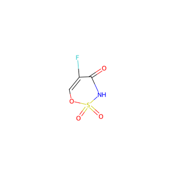 O=C1NS(=O)(=O)OC=C1F